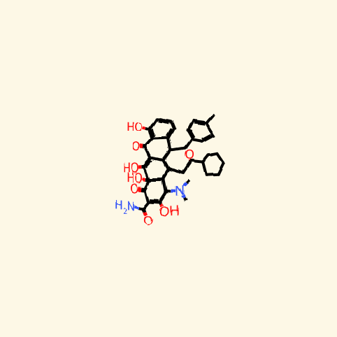 Cc1ccc(CC2c3cccc(O)c3C(=O)C3=C(O)C4(O)C(=O)C(C(N)=O)=C(O)C(N(C)C)C4C(CC(=O)C4CCCCC4)C32)cc1